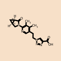 Cc1c(CCn2cc(C(=O)O)nn2)cnc(N2C[C@H]3C[C@H]3C2=O)c1C